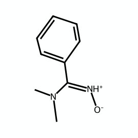 CN(C)C(=[NH+][O-])c1ccccc1